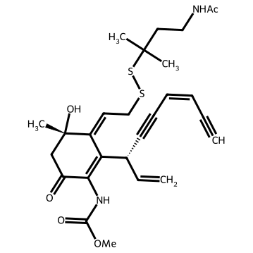 C#C/C=C\C#C[C@H](C=C)C1=C(NC(=O)OC)C(=O)C[C@](C)(O)/C1=C/CSSC(C)(C)CCNC(C)=O